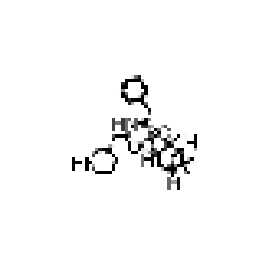 CC1(C)[C@@H]2C[C@H]3OB([C@H](Cc4ccccc4)NC(=O)C[C@H]4CCCNC4)O[C@@]3(C)[C@H]1C2